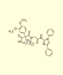 COc1ccc(C(C)(C(=O)O)C(=O)N(CC(=O)Nc2nc(-c3ccccc3)cn2-c2ccccc2)C(C)C)cc1OC